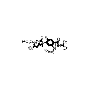 CCC[C@H](C)Oc1cc(-n2nc(CC(NC(=O)O)C(C)(C)C)n(C)c2=O)c(F)cc1C(=O)NC(CC)CC